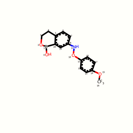 OB1OCCc2ccc(NOc3ccc(OC(F)(F)F)cc3)cc21